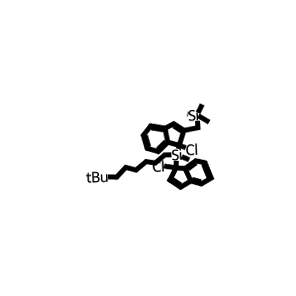 CC(C)(C)CCCCCC[Si](C)(C1(Cl)C=Cc2ccccc21)C1(Cl)C(C[Si](C)(C)C)=Cc2ccccc21